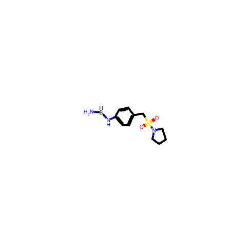 NBNc1ccc(CS(=O)(=O)N2CCCC2)cc1